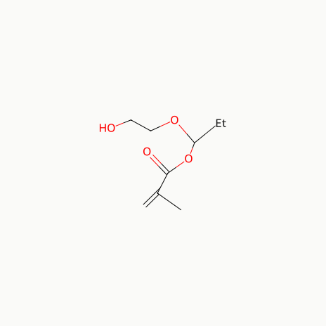 [CH2]CC(OCCO)OC(=O)C(=C)C